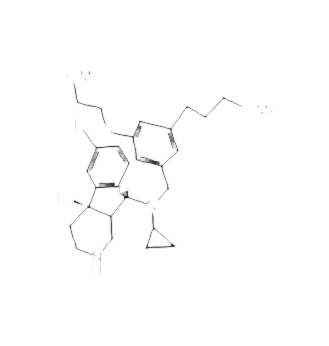 COCCCc1cc(CN(C(=O)C2CNCC[C@]2(O)c2cccc(F)c2)C2CC2)cc(OCCOC)c1